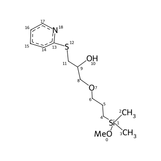 CO[Si](C)(C)CCCOCC(O)CSc1ccccn1